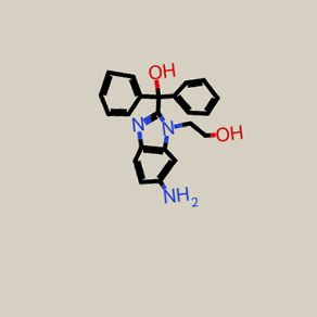 Nc1ccc2nc(C(O)(c3ccccc3)c3ccccc3)n(CCO)c2c1